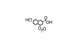 CC(=O)Oc1cc(C(=O)O)cc2ccccc12.Cl